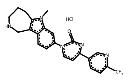 Cl.Cn1c2c(c3ccc(-n4ccc(-c5ccc(C(F)(F)F)nc5)nc4=O)cc31)CNCCC2